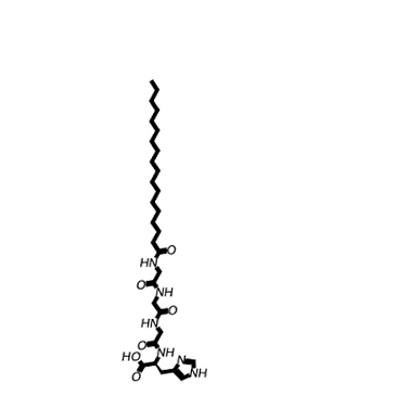 CCCCCCCCCCCCCCCCCC(=O)NCC(=O)NCC(=O)NCC(=O)N[C@@H](Cc1c[nH]cn1)C(=O)O